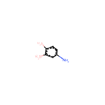 Bc1ccc(N)cc1B